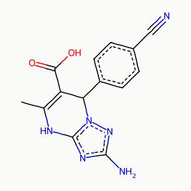 CC1=C(C(=O)O)C(c2ccc(C#N)cc2)n2nc(N)nc2N1